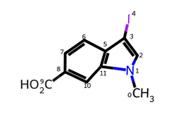 Cn1cc(I)c2ccc(C(=O)O)cc21